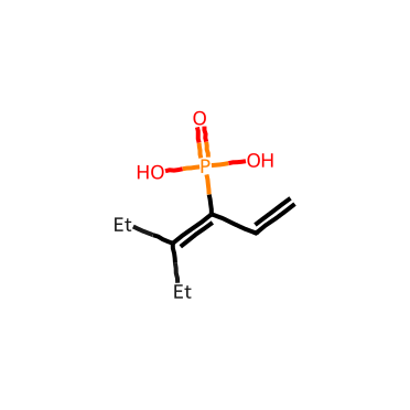 C=CC(=C(CC)CC)P(=O)(O)O